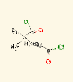 CC(C)(C)C(=O)Cl.CCC(C)(C)C(=O)Cl